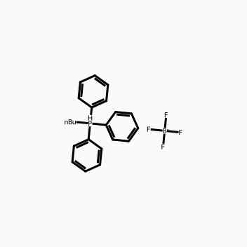 CCCC[PH](c1ccccc1)(c1ccccc1)c1ccccc1.F[B-](F)(F)F